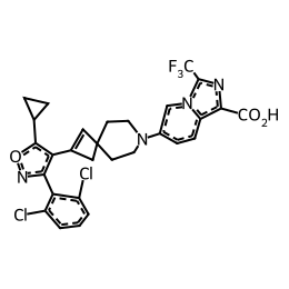 O=C(O)c1nc(C(F)(F)F)n2cc(N3CCC4(C=C(c5c(-c6c(Cl)cccc6Cl)noc5C5CC5)C4)CC3)ccc12